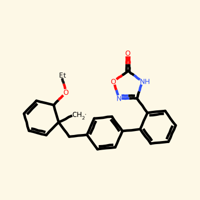 [CH2]C1(Cc2ccc(-c3ccccc3-c3noc(=O)[nH]3)cc2)C=CC=CC1OCC